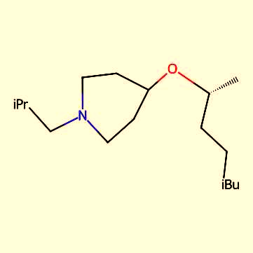 CCC(C)CC[C@@H](C)OC1CCN(CC(C)C)CC1